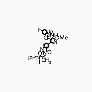 COc1ncc(-c2ccc3ncn(CC(C)C(=O)NCC(C)C)c(=O)c3c2)cc1NS(=O)(=O)c1ccc(F)cc1Cl